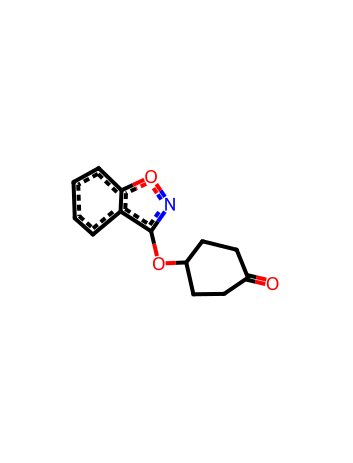 O=C1CCC(Oc2noc3ccccc23)CC1